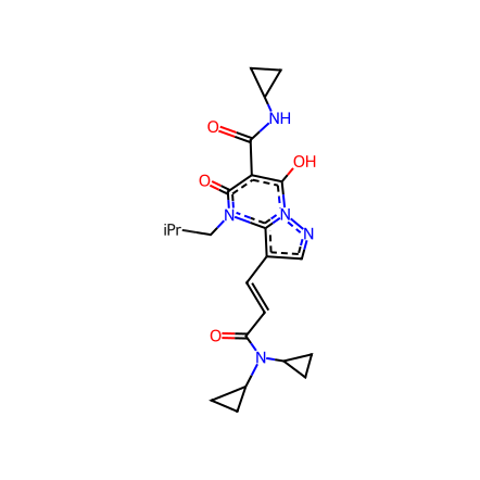 CC(C)Cn1c(=O)c(C(=O)NC2CC2)c(O)n2ncc(C=CC(=O)N(C3CC3)C3CC3)c12